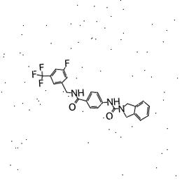 O=C(NCc1cc(F)cc(C(F)(F)F)c1)c1ccc(NC(=O)N2Cc3ccccc3C2)cc1